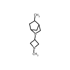 CC1CC2CC1CN2C1CN(C)C1